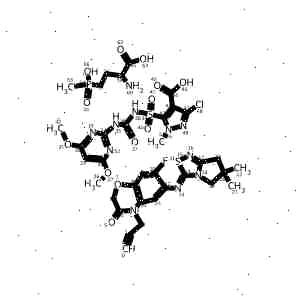 C#CCN1C(=O)COc2cc(F)c(/N=c3\snc4n3CC(C)(C)C4)cc21.COc1cc(OC)nc(NC(=O)NS(=O)(=O)c2c(C(=O)O)c(Cl)nn2C)n1.CP(=O)(O)CCC(N)C(=O)O